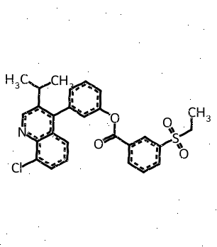 CCS(=O)(=O)c1cccc(C(=O)Oc2cccc(-c3c(C(C)C)cnc4c(Cl)cccc34)c2)c1